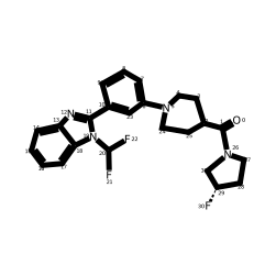 O=C(C1CCN(c2cccc(-c3nc4ccccc4n3C(F)F)c2)CC1)N1CC[C@H](F)C1